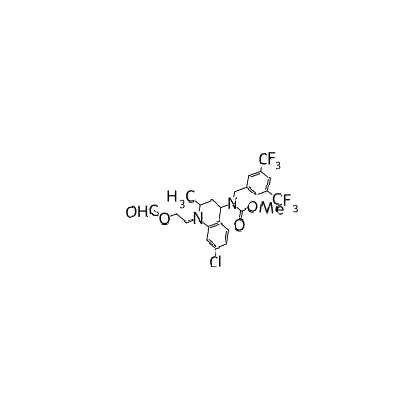 COC(=O)N(Cc1cc(C(F)(F)F)cc(C(F)(F)F)c1)C1CC(C)N(CCOC=O)c2cc(Cl)ccc21